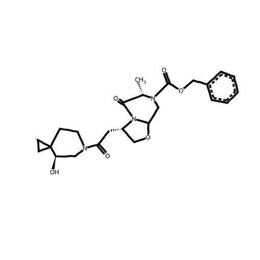 C[C@H]1C(=O)N2C(CN1C(=O)OCc1ccccc1)OC[C@@H]2CC(=O)N1CCC2(CC2)[C@H](O)C1